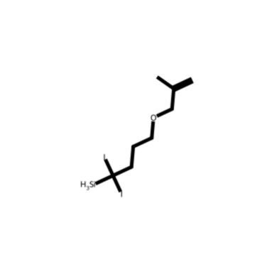 C=C(C)COCCCC([SiH3])(I)I